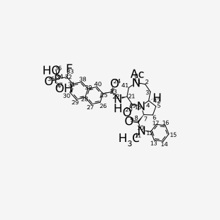 CC(=O)N1CC[C@H]2CC[C@@H](C(=O)N(C)c3ccccc3)N2C(=O)[C@@H](NC(=O)c2ccc3ccc(C(F)P(=O)(O)O)cc3c2)C1